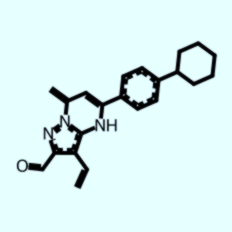 C=Cc1c(C=O)nn2c1NC(c1ccc(C3CCCCC3)cc1)=CC2=C